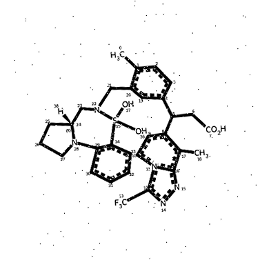 Cc1ccc(C(CC(=O)O)c2ccn3c(C(F)(F)F)nnc3c2C)cc1CN1C[C@H]2CCCN2c2ccccc2S1(O)O